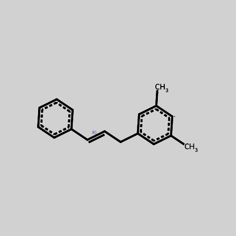 Cc1[c]c(C)cc(C/C=C/c2ccccc2)c1